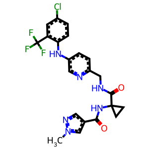 Cn1cc(C(=O)NC2(C(=O)NCc3ccc(Nc4ccc(Cl)cc4C(F)(F)F)cn3)CC2)cn1